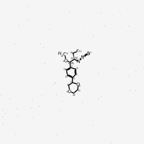 CO[C@H](c1ccc(C2COCCO2)cc1)[C@@H](CF)N=[N+]=[N-]